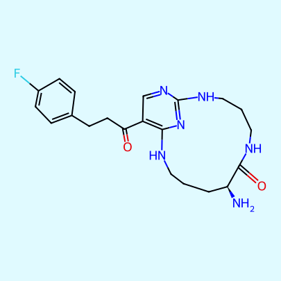 N[C@H]1CCCNc2nc(ncc2C(=O)CCc2ccc(F)cc2)NCCCNC1=O